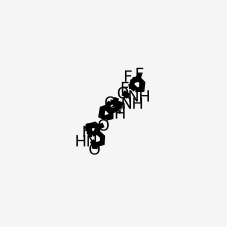 CC12Oc3ccc(Oc4ccnc5c4CCC(=O)N5)cc3[C@H]1[C@@H]2NC(=O)Nc1ccc(F)c(F)c1F